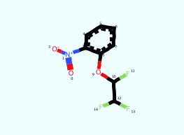 O=[N+]([O-])c1ccccc1OC(F)C(F)F